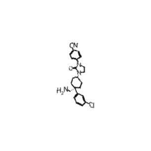 N#Cc1ccc(N2CCN([C@H]3CC[C@](CN)(c4cccc(Cl)c4)CC3)C2=O)cc1